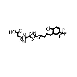 O=C(O)Cn1nnc(-c2nnc(SCCCCc3cc(C(F)(F)F)ccc3Cl)s2)n1